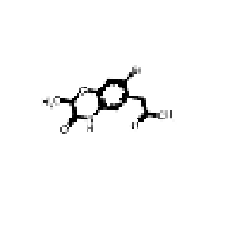 CC(=O)Cc1cc2c(cc1Br)OC(C)C(=O)N2